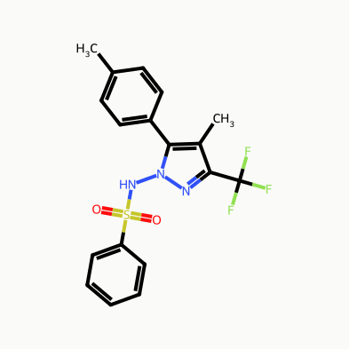 Cc1ccc(-c2c(C)c(C(F)(F)F)nn2NS(=O)(=O)c2ccccc2)cc1